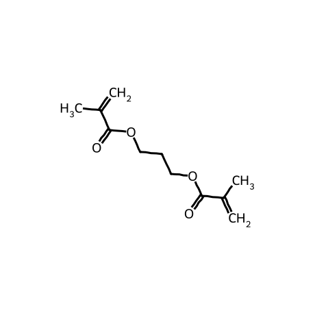 C=C(C)C(=O)OCCCOC(=O)C(=C)C